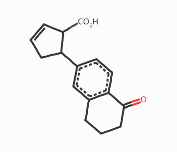 O=C1CCCc2cc(C3CC=CC3C(=O)O)ccc21